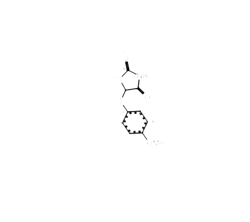 COc1ccc(SC2SC(=O)NC2=O)cc1